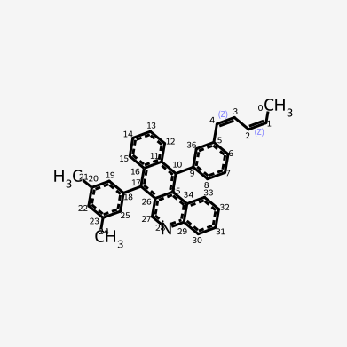 C/C=C\C=C/c1cccc(-c2c3ccccc3c(-c3cc(C)cc(C)c3)c3cnc4ccccc4c23)c1